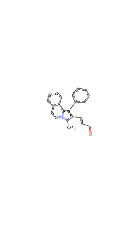 Cc1c(C=CC=O)c(-c2ccccc2)c2c3ccccc3ccn12